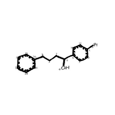 CC(C)c1ccc(C(O)CCCc2ccccc2)cc1